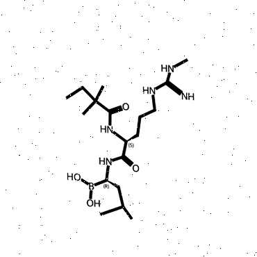 CCC(C)(C)C(=O)N[C@@H](CCCNC(=N)NC)C(=O)N[C@@H](CC(C)C)B(O)O